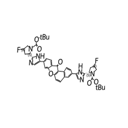 CC(C)(C)OC(=O)N1C[C@H](F)C[C@H]1c1ncc(-c2ccc3c(ccc4oc5cc(-c6cnc([C@@H]7C[C@@H](F)CN7C(=O)OC(C)(C)C)[nH]6)ccc5c(=O)c43)c2)[nH]1